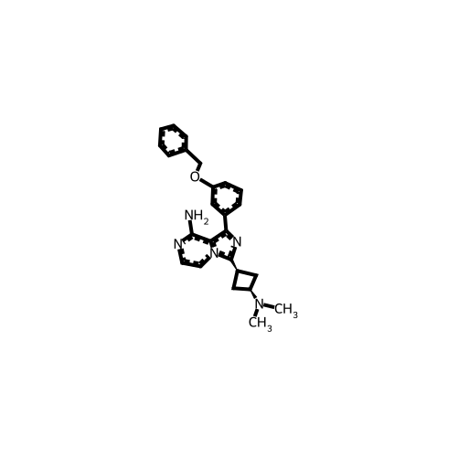 CN(C)[C@H]1C[C@@H](c2nc(-c3cccc(OCc4ccccc4)c3)c3c(N)nccn32)C1